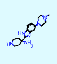 CN1CCN(c2ccc3[nH]c(C4(N)CCNCC4)nc3c2)CC1